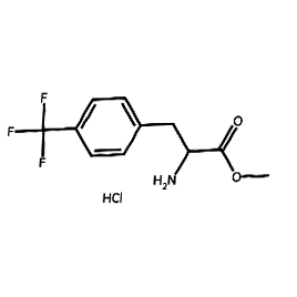 COC(=O)C(N)Cc1ccc(C(F)(F)F)cc1.Cl